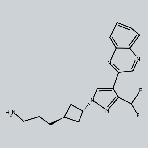 NCCC[C@H]1C[C@H](n2cc(-c3cnc4ccccc4n3)c(C(F)F)n2)C1